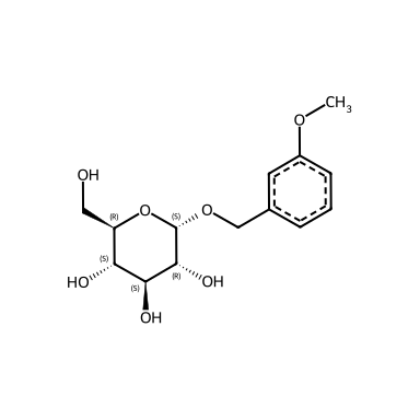 COc1cccc(CO[C@H]2O[C@H](CO)[C@@H](O)[C@H](O)[C@H]2O)c1